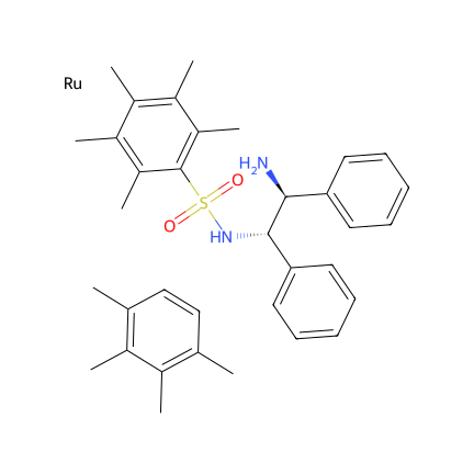 Cc1c(C)c(C)c(S(=O)(=O)N[C@@H](c2ccccc2)[C@@H](N)c2ccccc2)c(C)c1C.Cc1ccc(C)c(C)c1C.[Ru]